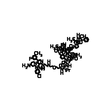 CC[C@H](C)[C@@H]([C@@H](CC(=O)N1CCC[C@H]1C[C@@H](C)C(=O)N[C@H](C)[C@@H](O)c1ccccc1)OC)N(C)C(=O)[C@@H](NC(=O)[C@H](C(C)C)N(C)C(=O)OCc1ccc(NC(=O)[C@H](CCCNC(N)=O)NC(=O)[C@@H](NC(=O)CCOCCNCCNc2ncc(-c3cc(C)cc(F)c3)c(N3CCC(N)CC3)c2-c2nc3ccc(Cl)cc3[nH]2)C(C)C)cc1)C(C)C